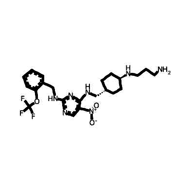 NCCCN[C@H]1CC[C@H](CNc2nc(NCc3ccccc3OC(F)(F)F)ncc2[N+](=O)[O-])CC1